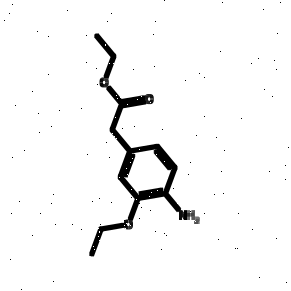 CCOC(=O)Cc1ccc(N)c(OCC)c1